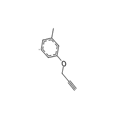 C#CCOc1c[c]cc(C)c1